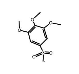 [CH2]S(=O)(=O)c1cc(OC)c(OC)c(OC)c1